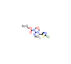 CC(=O)OCOC(=O)N1COCN(Cc2cnc(Cl)s2)/C1=N\[N+](=O)[O-]